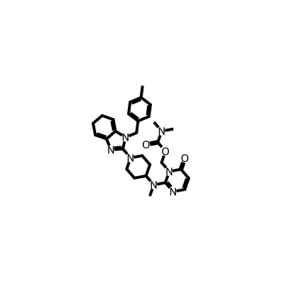 Cc1ccc(Cn2c(N3CCC(N(C)c4nccc(=O)n4COC(=O)N(C)C)CC3)nc3c2=CCCC=3)cc1